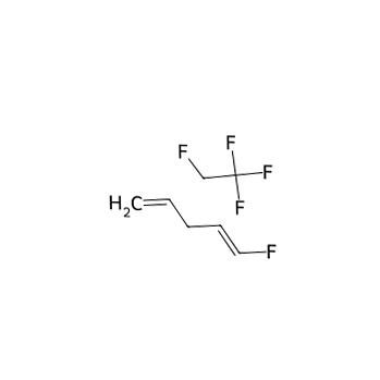 C=CCC=CF.FCC(F)(F)F